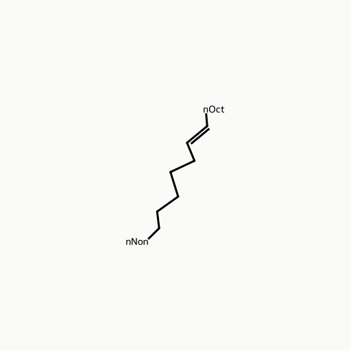 [CH2]CCCCCCCCCCCCC/C=C/CCCCCCCC